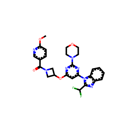 COc1ccc(C(=O)N2CC(Oc3cc(-n4c(C(F)F)nc5ccccc54)nc(N4CCOCC4)n3)C2)cn1